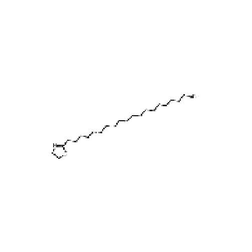 CCCCCCCCCCCCCCCCCCCCCCCCCCCCCC1=NCCO1